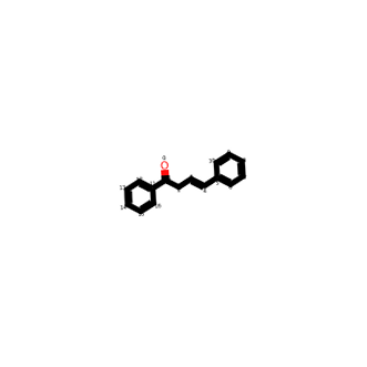 O=C(CC=Cc1ccccc1)c1ccccc1